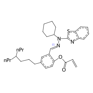 C=CC(=O)Oc1ccc(CCCC(CCC)CCC)cc1/C=N/N(c1nc2ccccc2s1)C1CCCCC1